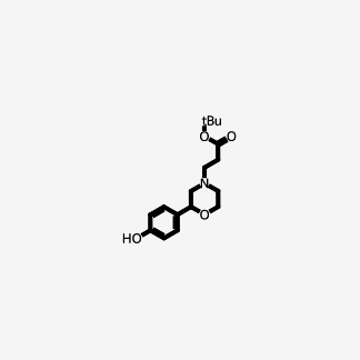 CC(C)(C)OC(=O)CCN1CCOC(c2ccc(O)cc2)C1